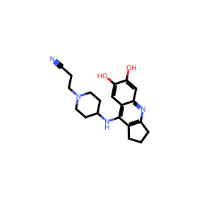 N#CCCN1CCC(Nc2c3c(nc4cc(O)c(O)cc24)CCC3)CC1